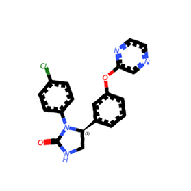 O=C1NC[C@H](c2cccc(Oc3cnccn3)c2)N1c1ccc(Cl)cc1